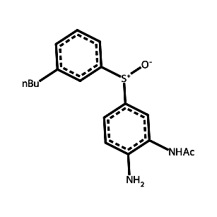 CCCCc1cccc([S+]([O-])c2ccc(N)c(NC(C)=O)c2)c1